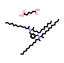 CCCCCCCCCCCC(C)N(Cc1cccc(CN(C(C)CCCCCCCCCCC)C(C)CCCCCCCCCCC)c1)C(C)CCCCCCCCCCC.O=C(O)CCCCC(=O)O